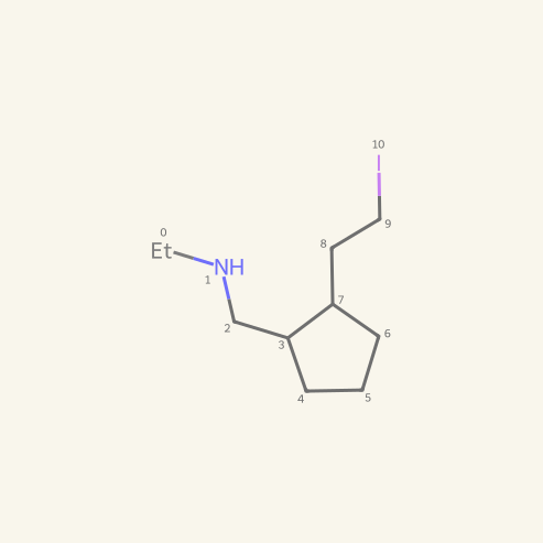 CCNCC1CCCC1CCI